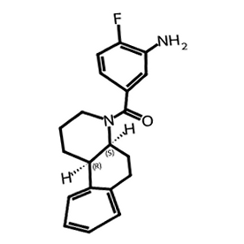 Nc1cc(C(=O)N2CCC[C@@H]3c4ccccc4CC[C@@H]32)ccc1F